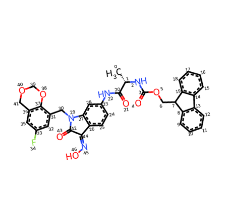 C[C@H](NC(=O)OCC1c2ccccc2-c2ccccc21)C(=O)Nc1ccc2c(c1)N(Cc1cc(F)cc3c1OCOC3)C(=O)/C2=N\O